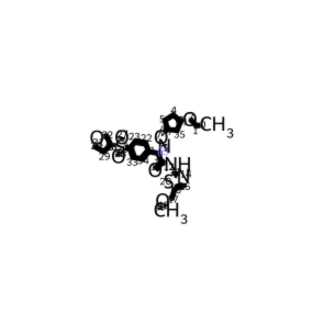 CCO[C@@H]1CC[C@@H](O/N=C(/C(=O)Nc2ncc(COC)s2)c2ccc(S(=O)(=O)[C@H]3CCOC3)cc2)C1